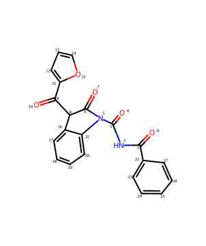 O=C(NC(=O)N1C(=O)C(C(=O)c2ccco2)c2ccccc21)c1ccccc1